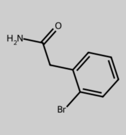 NC(=O)Cc1ccccc1Br